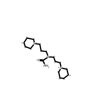 NC(=O)N(CCCN1CCCCC1)CCCN1CCCCC1